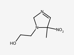 CC1([N+](=O)[O-])C=NCN1CCO